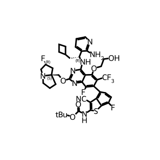 CC(C)(C)OC(=O)Nc1sc2c(F)ccc(-c3c(C(F)(F)F)c(OCCO)c4c(N[C@H](CC5CCC5)c5cccnc5N)nc(OC[C@@]56CCCN5C[C@H](F)C6)nc4c3F)c2c1C#N